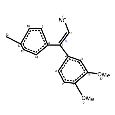 COc1ccc(/C(=C/C#N)c2ccc(C)cc2)cc1OC